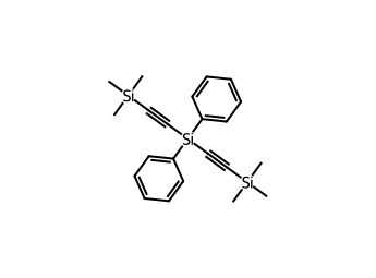 C[Si](C)(C)C#C[Si](C#C[Si](C)(C)C)(c1ccccc1)c1ccccc1